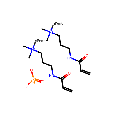 C=CC(=O)NCCC[N+](C)(C)CCCCC.C=CC(=O)NCCC[N+](C)(C)CCCCC.O=[PH]([O-])[O-]